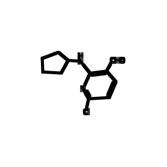 O=Cc1ccc(Cl)nc1NC1CCCC1